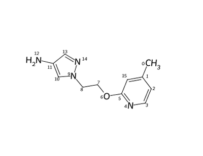 Cc1ccnc(OCCn2cc(N)cn2)c1